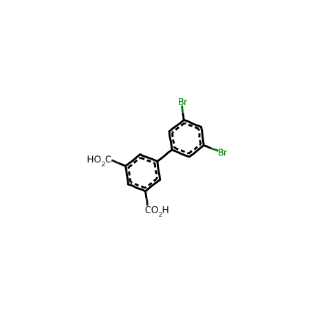 O=C(O)c1cc(C(=O)O)cc(-c2cc(Br)cc(Br)c2)c1